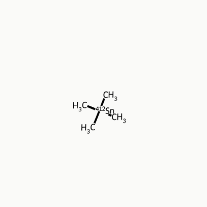 [CH3][412Sn]([CH3])([CH3])[CH3]